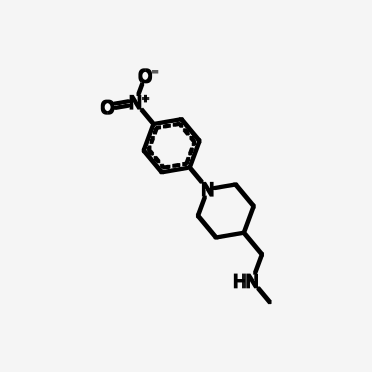 CNCC1CCN(c2ccc([N+](=O)[O-])cc2)CC1